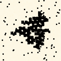 C=CC(=O)O[C@H](C)[C@@H](C(=O)N1C[C@H](Oc2cc(-c3ccccc3)nc3cc(OC)ccc23)C[C@H]1C(=O)N[C@]1(C(=O)NS(=O)(=O)C2CC2)C[C@H]1C=C)N(C(=O)O)C(C)(C)C